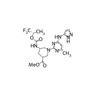 COC(=O)C1CC(NC(=O)O[C@@H](C)C(F)(F)F)CN(c2nc(C)cc(Nc3ccn[nH]3)n2)C1